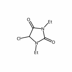 CCN1C(=O)C(Cl)N(CC)C1=O